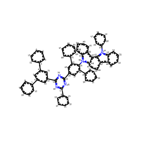 c1ccc(-c2cc(-c3ccccc3)cc(-c3nc(-c4ccccc4)nc(-c4cc(-c5ccccc5)c(-n5c6ccccc6c6c5ccc5c7ccccc7n(-c7ccccc7)c56)c(-c5ccccc5)c4)n3)c2)cc1